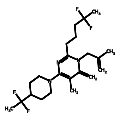 C=C(C)CN1C(=C)C(C)=C(N2CCC(C(C)(F)F)CC2)N=C1CCCC(C)(F)F